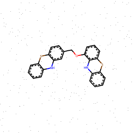 c1ccc2c(c1)Nc1cc(COc3cccc4c3Nc3ccccc3S4)ccc1S2